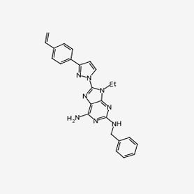 C=Cc1ccc(-c2ccn(-c3nc4c(N)nc(NCc5ccccc5)nc4n3CC)n2)cc1